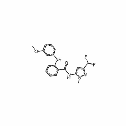 COc1cccc(Nc2ccccc2C(=O)Nc2cc(C(F)F)nn2C)c1